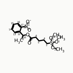 CO[Si](CCCCC(=O)OC(C)c1ccccc1[N+](=O)[O-])(OC)OC